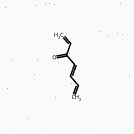 C=C/C=C/C(=O)C=C